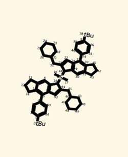 CC(C)(C)c1ccc(-c2c3c(cc4c2CCC4)C(S(C)(C)C2C(CC4CCCCC4)=Cc4c2cc2c(c4-c4ccc(C(C)(C)C)cc4)CCC2)C(CC2CCCCC2)=C3)cc1